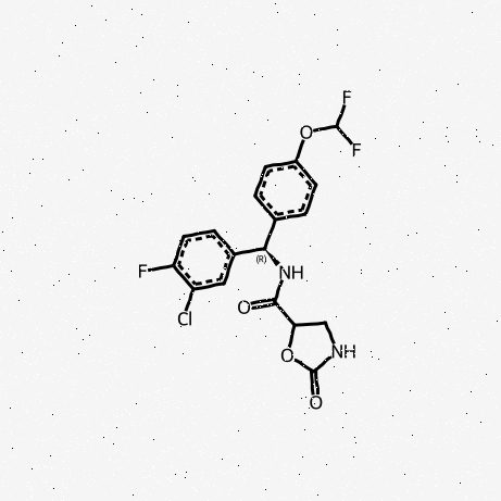 O=C1NCC(C(=O)N[C@H](c2ccc(OC(F)F)cc2)c2ccc(F)c(Cl)c2)O1